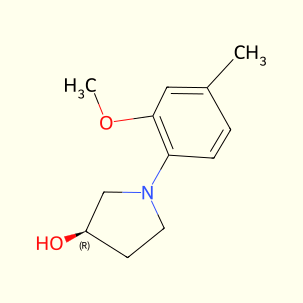 COc1cc(C)ccc1N1CC[C@@H](O)C1